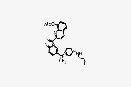 COc1cccc2ccc(-c3nnc4ccc([C@@H](N5CC[C@H](NCCF)C5)C(F)(F)F)cn34)nc12